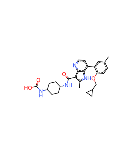 Cc1ccc(OCC2CC2)c(-c2ccnc3c(C(=O)N[C@H]4CC[C@H](NC(=O)O)CC4)c(C)[nH]c23)c1